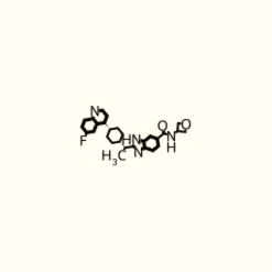 CC(c1nc2ccc(C(=O)NC3COC3)cc2[nH]1)[C@H]1CC[C@@H](c2ccnc3ccc(F)cc32)CC1